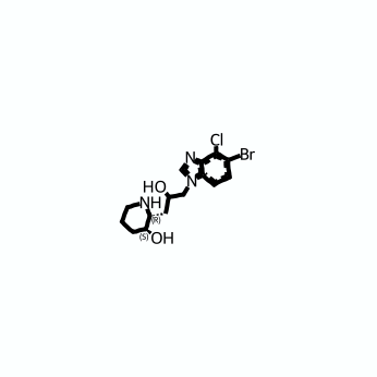 OC(C[C@H]1NCCC[C@@H]1O)Cn1cnc2c(Cl)c(Br)ccc21